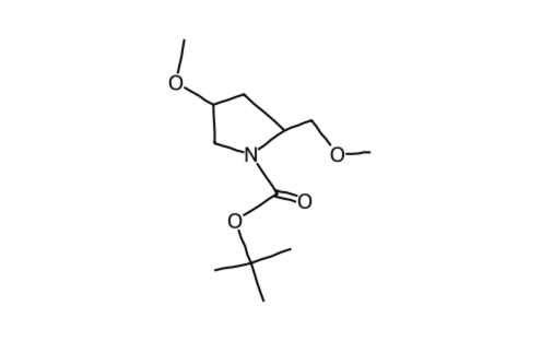 COCC1CC(OC)CN1C(=O)OC(C)(C)C